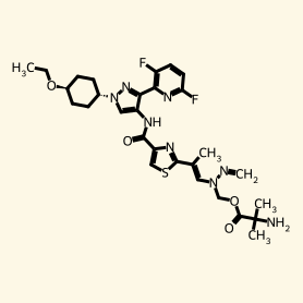 C=NN(/C=C(\C)c1nc(C(=O)Nc2cn([C@H]3CC[C@H](OCC)CC3)nc2-c2nc(F)ccc2F)cs1)COC(=O)C(C)(C)N